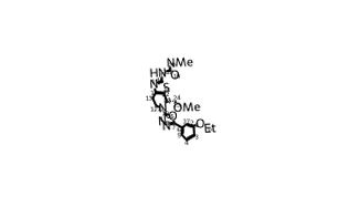 CCOc1cccc(-c2nnc(N3CCc4nc(NC(=O)NC)sc4[C@@H]3COC)o2)c1